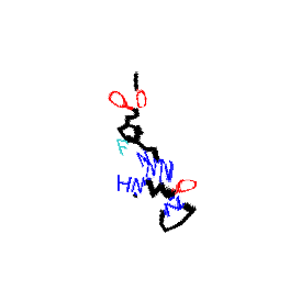 CCOC(=O)/C=C/c1ccc(-c2cc3nc(C(=O)N4CCCCCC4)cc(NC)n3n2)c(F)c1